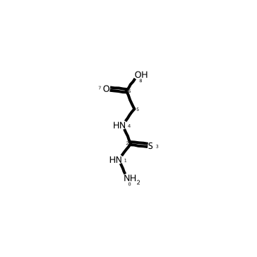 NNC(=S)NCC(=O)O